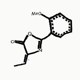 C/C=C1/N=C(c2ccccc2OC)OC1=O